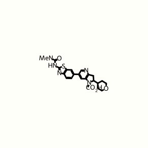 CNC(=O)Nc1nc2ccc(-c3cnc4c(c3)N(C(=O)O)C(C3CCOCC3)C4)cc2s1